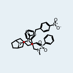 C=CCN(C(=O)OCc1ccc([N+](=O)[O-])cc1)C1CC2CCC(C1)N2CC[C@](C)(CN(C)S(=O)(=O)c1ccccc1)c1ccccc1